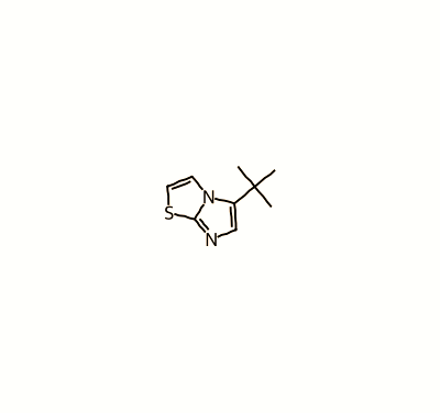 CC(C)(C)c1cnc2sccn12